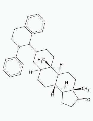 C[C@]12CCC(C3c4ccccc4CCN3c3ccccc3)C[C@@H]1CC[C@@H]1[C@@H]2CC[C@]2(C)C(=O)CC[C@@H]12